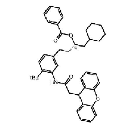 CC(C)(C)c1ccc(CC[C@@H](CC2CCCCC2)OC(=O)c2ccccc2)cc1NC(=O)CC1c2ccccc2Oc2ccccc21